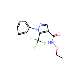 CCONC(=O)c1cnn(-c2ccccc2)c1C(F)(F)F